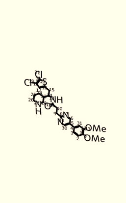 COc1ccc(-c2cnc(CCC(=O)NC(Cc3cc(Cl)c(Cl)s3)C3CCCNC3)nc2)cc1OC